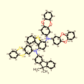 CC1(C)c2ccccc2-c2cc(N(c3ccc4c(c3)Sc3ccccc3S4)c3ccc(N(c4ccc5c(c4)Oc4ccccc4O5)c4ccc5c(c4)Oc4ccccc4O5)c4sc5ccccc5c34)ccc21